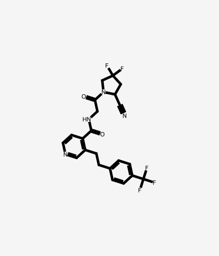 N#CC1CC(F)(F)CN1C(=O)CNC(=O)c1ccncc1CCc1ccc(C(F)(F)F)cc1